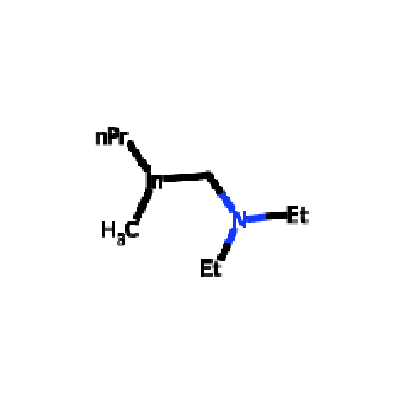 CC[CH2][In]([CH3])[CH2]N(CC)CC